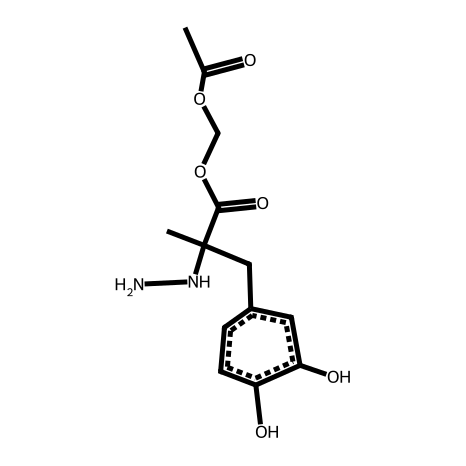 CC(=O)OCOC(=O)C(C)(Cc1ccc(O)c(O)c1)NN